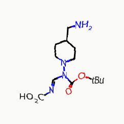 CC(C)(C)OC(=O)N(C=NC(=O)O)N1CCC(CN)CC1